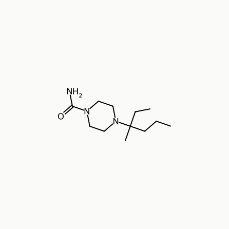 CCCC(C)(CC)N1CCN(C(N)=O)CC1